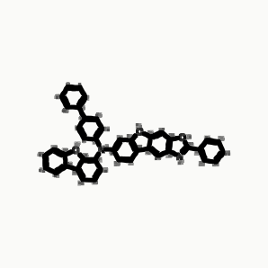 c1ccc(-c2ccc(N(c3ccc4c(c3)oc3cc5oc(-c6ccccc6)nc5cc34)c3cccc4c3oc3ccccc34)cc2)cc1